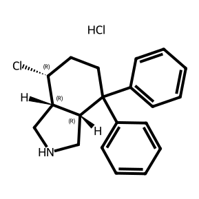 Cl.Cl[C@@H]1CCC(c2ccccc2)(c2ccccc2)[C@@H]2CNC[C@H]12